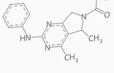 Cc1nc(Nc2ccccc2)nc2c1C(C)N(C(N)=O)C2